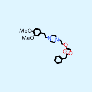 COc1ccc(CCN2CCN(CCOC3=COC(Cc4ccccc4)O3)CC2)cc1OC